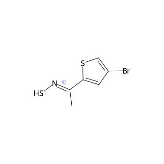 C/C(=N\S)c1cc(Br)cs1